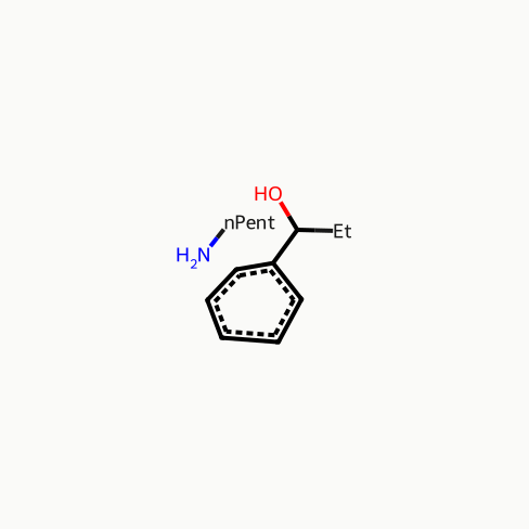 CCC(O)c1ccccc1.CCCCCN